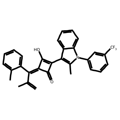 C=C(C)/C(=C1\C(=O)C(c2c(C)n(-c3cccc(C(F)(F)F)c3)c3ccccc23)=C1O)c1ccccc1C